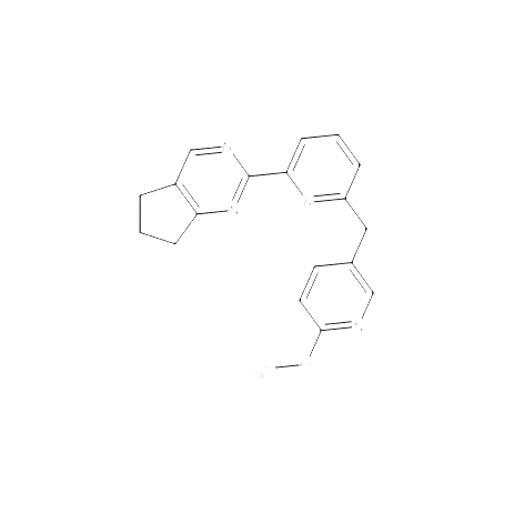 COc1ccc(Cc2cccc(-c3ncc4c(n3)CCC4)n2)cn1